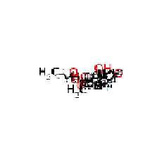 CCCCC(=O)OCC(=O)[C@@]1(O)[C@H](C)C[C@H]2[C@@H]3C[C@H](F)C4=CC(=O)C=C[C@]4(C)[C@H]3[C@@H](O)C[C@@]21C